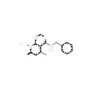 O=c1cc(I)c2c(NCc3ccccc3)ncnc2n1O